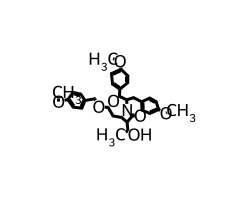 COc1ccc(COC(=O)CC2C(C(C)O)C(=O)N2C(Cc2ccc(OC)cc2)Cc2ccc(OC)cc2)cc1